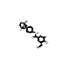 O=Cc1cc(C(=O)Nc2ccc(N3[C@H]4CC[C@@H]3CC4)cc2)cc(F)c1O